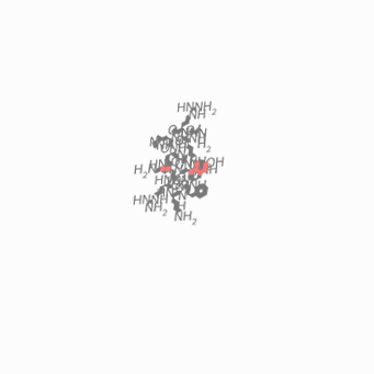 C[C@@H](N)C(=O)N[C@H](CCCCN)C(=O)N[C@H](CCCNC(=N)N)C(=O)N[C@H](Cc1cnc[nH]1)C(=O)N[C@H](Cc1cnc[nH]1)C(=O)NCC(=O)N[C@H](Cc1ccc(O)cc1)C(=O)N[C@H](CCCCN)C(=O)N[C@H](CCCNC(=N)N)C(=O)N[C@H](CCCCN)C(=O)N[C@H](Cc1ccccc1)C(=O)N[C@H](Cc1cnc[nH]1)C(N)=O